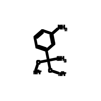 CCCOC([SiH3])(OCCC)c1cccc(N)c1